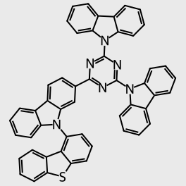 c1ccc2c(c1)sc1cccc(-n3c4ccccc4c4ccc(-c5nc(-n6c7ccccc7c7ccccc76)nc(-n6c7ccccc7c7ccccc76)n5)cc43)c12